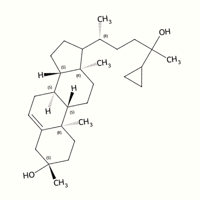 C[C@H](CCC(C)(O)C1CC1)C1CC[C@H]2[C@@H]3CC=C4C[C@@](C)(O)CC[C@]4(C)[C@H]3CC[C@]12C